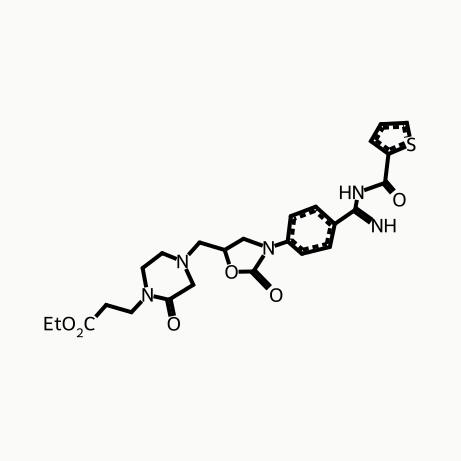 CCOC(=O)CCN1CCN(CC2CN(c3ccc(C(=N)NC(=O)c4cccs4)cc3)C(=O)O2)CC1=O